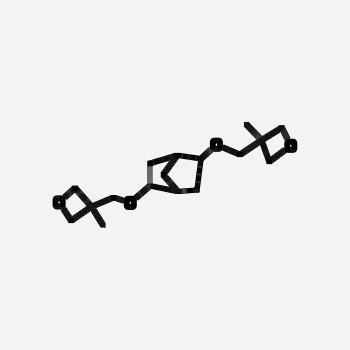 CC1(COC2CC3CC2CC3OCC2(C)COC2)COC1